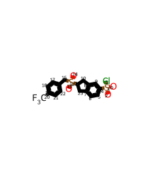 O=S(=O)(Cl)c1ccc2c(c1)CC(S(=O)(=O)Cc1ccc(C(F)(F)F)cc1)C2